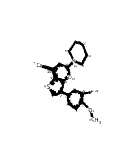 COc1ccc(-c2csc3c(=O)cc(N4CCCCC4)oc23)cc1F